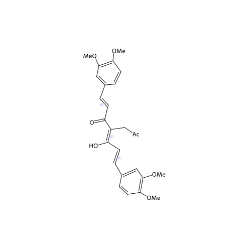 COc1ccc(/C=C/C(=O)/C(CC(C)=O)=C(O)/C=C/c2ccc(OC)c(OC)c2)cc1OC